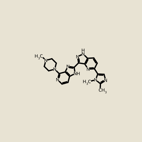 Cc1ncc(-c2ccc3[nH]nc(-c4nc5c(N6CCN(C)CC6)nccc5[nH]4)c3n2)n1C